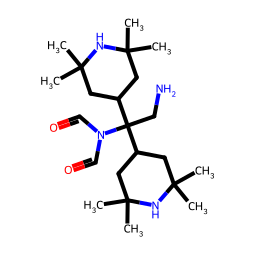 CC1(C)CC(C(CN)(C2CC(C)(C)NC(C)(C)C2)N(C=O)C=O)CC(C)(C)N1